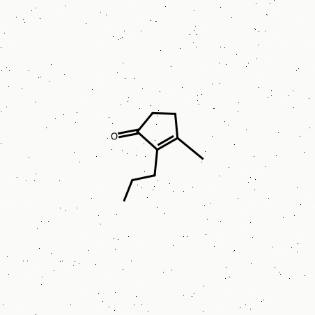 CCCC1=C(C)CCC1=O